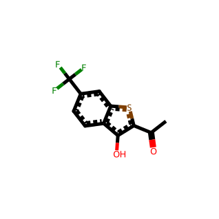 CC(=O)c1sc2cc(C(F)(F)F)ccc2c1O